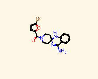 NC1=NC2(CCN(C(=O)c3ccc(Br)o3)CC2)Nc2ccccc21